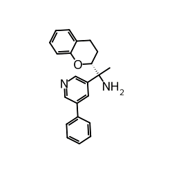 CC(N)(c1cncc(-c2ccccc2)c1)[C@H]1CCc2ccccc2O1